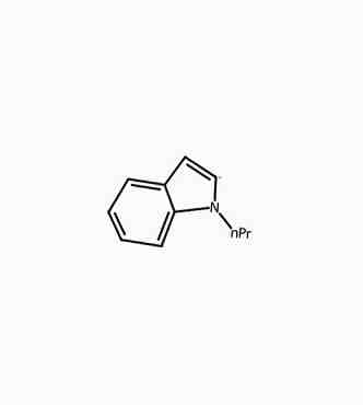 CCCn1[c]cc2ccccc21